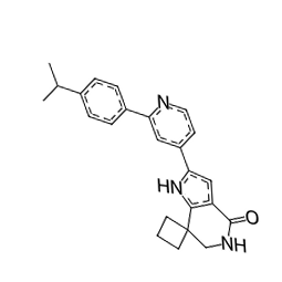 CC(C)c1ccc(-c2cc(-c3cc4c([nH]3)C3(CCC3)CNC4=O)ccn2)cc1